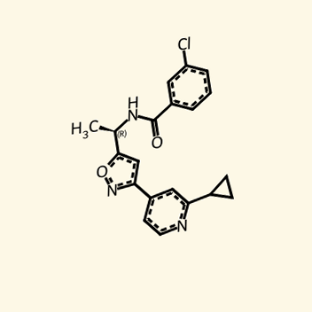 C[C@@H](NC(=O)c1cccc(Cl)c1)c1cc(-c2ccnc(C3CC3)c2)no1